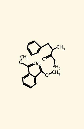 CC(Cc1ccccc1)C(=O)CP.COC(=O)c1ccccc1C(=O)OC